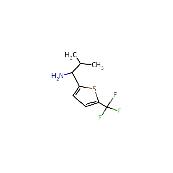 CC(C)C(N)c1ccc(C(F)(F)F)s1